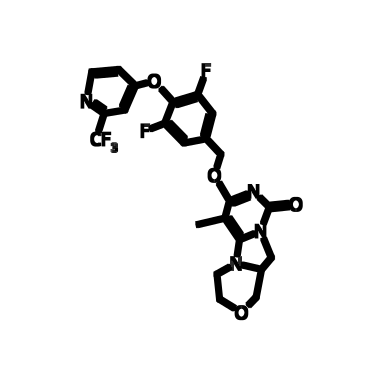 Cc1c(OCc2cc(F)c(Oc3ccnc(C(F)(F)F)c3)c(F)c2)nc(=O)n2c1N1CCOCC1C2